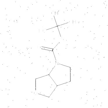 CC(C)(C)OC(=O)N1CCC2COCC21